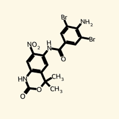 CC1(C)OC(=O)Nc2cc([N+](=O)[O-])c(NC(=O)c3cc(Br)c(N)c(Br)c3)cc21